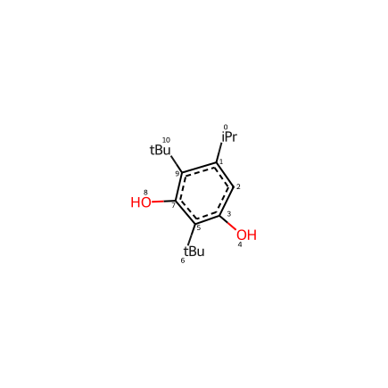 CC(C)c1cc(O)c(C(C)(C)C)c(O)c1C(C)(C)C